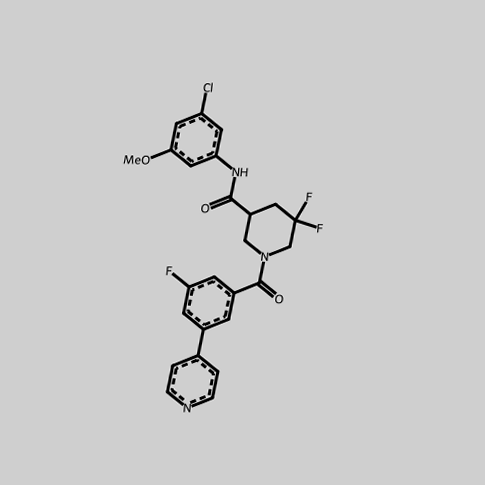 COc1cc(Cl)cc(NC(=O)C2CN(C(=O)c3cc(F)cc(-c4ccncc4)c3)CC(F)(F)C2)c1